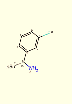 CCCC[C@@H](N)c1cccc(F)c1